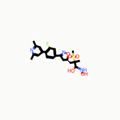 Cc1cc(-c2ccc(C3=NO[C@@H](CC(C)(C(O)NO)S(C)(=O)=O)C3)cc2F)cc(C)n1